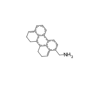 NCc1ccc2c3c(c4c5c(cccc52)=CCC4)CCC=c13